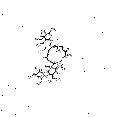 CC[C@@H](O)[C@@H](C)O[C@H](CCO)O[C@H]1C(N(C)C)C(O)[C@H](O[C@H]2[C@@H](CC=O)C[C@@H](C)C(=O)/C=C/C(C)=C/[C@H](CO[C@@H]3OC(C)CC(CO)(OC)C3OC)[C@@H](CC)OC(=O)C[C@@H](O)[C@@H]2C)O[C@@H]1C